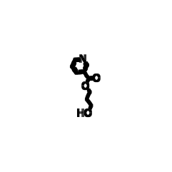 O=C(OCCCO)c1cccnc1